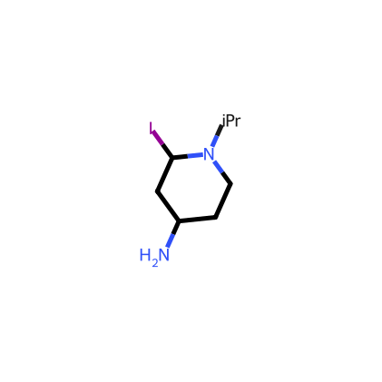 CC(C)N1CCC(N)CC1I